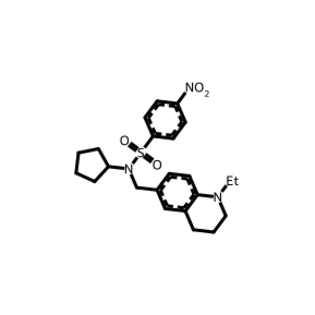 CCN1CCCc2cc(CN(C3CCCC3)S(=O)(=O)c3ccc([N+](=O)[O-])cc3)ccc21